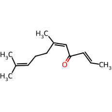 CC=CC(=O)C=C(C)CCC=C(C)C